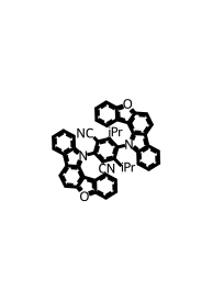 CC(C)c1c(C#N)c(-n2c3ccccc3c3ccc4oc5ccccc5c4c32)c(C#N)c(C(C)C)c1-n1c2ccccc2c2ccc3oc4ccccc4c3c21